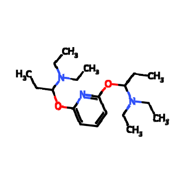 CCC(Oc1cccc(OC(CC)N(CC)CC)n1)N(CC)CC